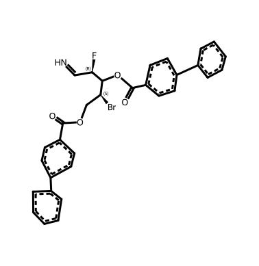 N=C[C@@H](F)C(OC(=O)c1ccc(-c2ccccc2)cc1)[C@@H](Br)COC(=O)c1ccc(-c2ccccc2)cc1